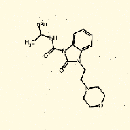 CCCCC(C)NC(=O)n1c(=O)n(CCN2CCOCC2)c2ccccc21